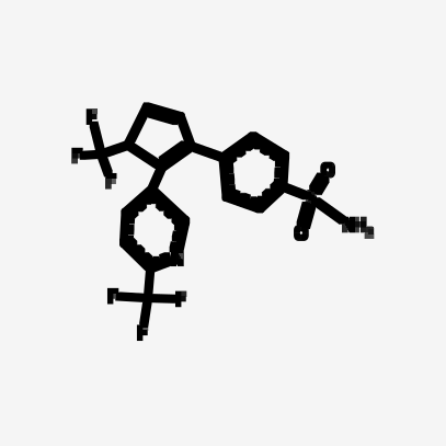 NS(=O)(=O)c1ccc(C2=C(c3ccc(C(F)(F)F)nc3)C(C(F)(F)F)C=C2)cc1